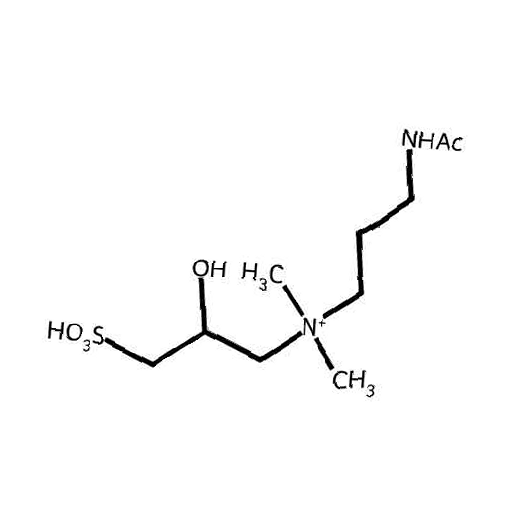 CC(=O)NCCC[N+](C)(C)CC(O)CS(=O)(=O)O